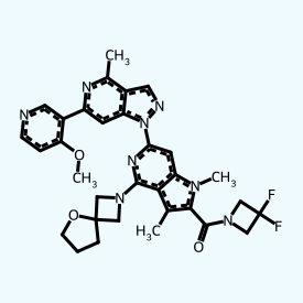 COc1ccncc1-c1cc2c(cnn2-c2cc3c(c(N4CC5(CCCO5)C4)n2)c(C)c(C(=O)N2CC(F)(F)C2)n3C)c(C)n1